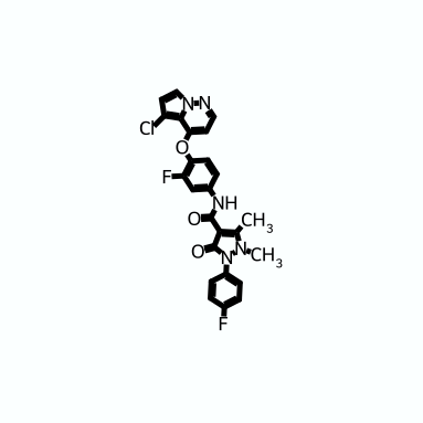 Cc1c(C(=O)Nc2ccc(Oc3ccnn4ccc(Cl)c34)c(F)c2)c(=O)n(-c2ccc(F)cc2)n1C